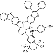 CC(C)(C)c1ccc(Nc2cc3c(cc2-c2ccc4c5cc6c(cc5n5c4c2Bc2cc4sc(-c7ccccc7)c(-c7ccccc7)c4cc2-5)oc2ccccc26)C(C)(C)CCC3(C)C)cc1